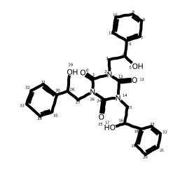 O=c1n(CC(O)c2ccccc2)c(=O)n(CC(O)c2ccccc2)c(=O)n1CC(O)c1ccccc1